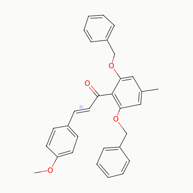 COc1ccc(/C=C/C(=O)c2c(OCc3ccccc3)cc(C)cc2OCc2ccccc2)cc1